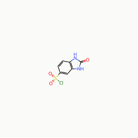 O=c1[nH]c2ccc(S(=O)(=O)Cl)cc2[nH]1